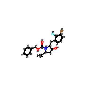 C[C@@H]1CC(=O)C(Cc2cccc(Br)c2F)N1C(=O)OCc1ccccc1